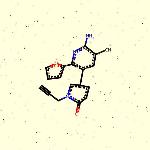 C#CCn1cc(-c2cc(C#N)c(N)nc2-c2ccco2)ccc1=O